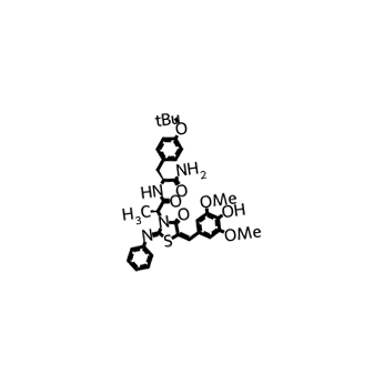 COc1cc(C=C2SC(=Nc3ccccc3)N([C@@H](C)C(=O)N[C@@H](Cc3ccc(OC(C)(C)C)cc3)C(N)=O)C2=O)cc(OC)c1O